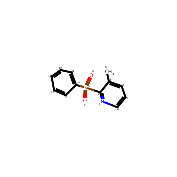 Cc1cccnc1S(=O)(=O)c1ccccc1